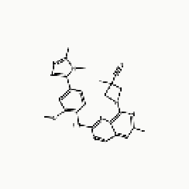 COc1cc(-c2cnc(C)n2C)ccc1Nc1ncc2cc(C)nc(N3CC(C)(C#N)C3)c2n1